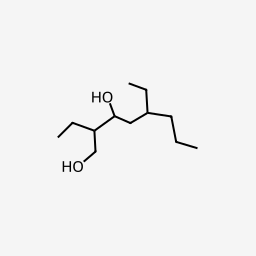 CCCC(CC)CC(O)C(CC)CO